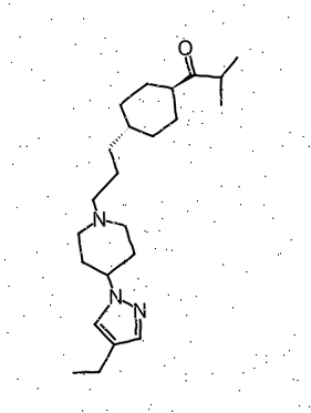 CCc1cnn(C2CCN(CCC[C@H]3CC[C@H](C(=O)C(C)C)CC3)CC2)c1